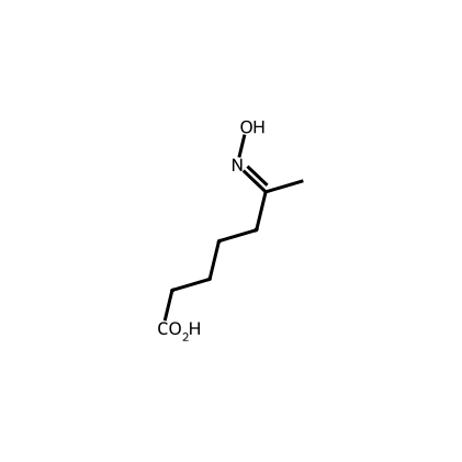 CC(CCCCC(=O)O)=NO